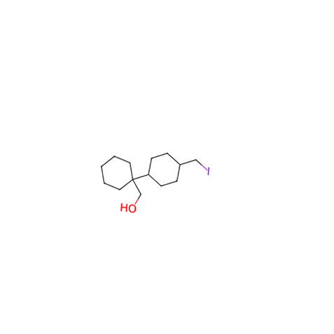 OCC1(C2CCC(CI)CC2)CCCCC1